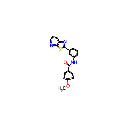 COc1ccc(C(=O)Nc2cccc(-c3nc4cccnc4s3)c2)cc1